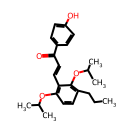 CCCc1ccc(OC(C)C)c(C=CC(=O)c2ccc(O)cc2)c1OC(C)C